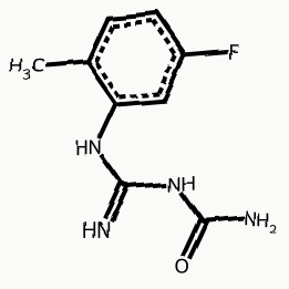 Cc1ccc(F)cc1NC(=N)NC(N)=O